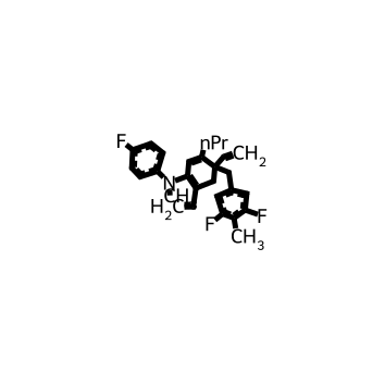 C=CC1=C(N(C)c2ccc(F)cc2)C=C(CCC)C(C=C)(Cc2cc(F)c(C)c(F)c2)C1